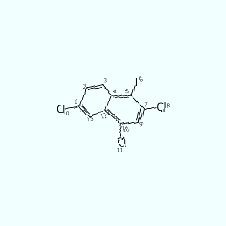 Clc1ccc2c(I)c(Cl)cc(Cl)c2c1